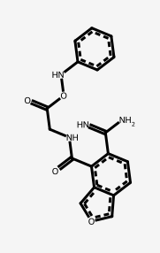 N=C(N)c1ccc2cocc2c1C(=O)NCC(=O)ONc1ccccc1